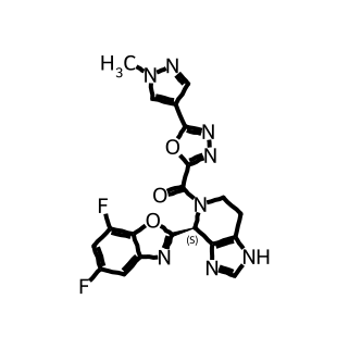 Cn1cc(-c2nnc(C(=O)N3CCc4[nH]cnc4[C@H]3c3nc4cc(F)cc(F)c4o3)o2)cn1